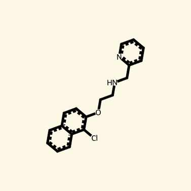 Clc1c(OCCNCc2ccccn2)ccc2ccccc12